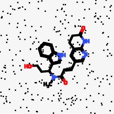 CN(C(=O)C=Cc1cnc2c(c1)CCC(=O)N2)C(CCO)c1c[nH]c2ccccc12